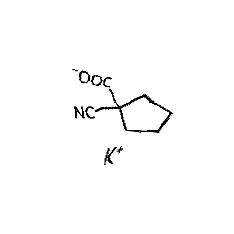 N#CC1(C(=O)[O-])CCCC1.[K+]